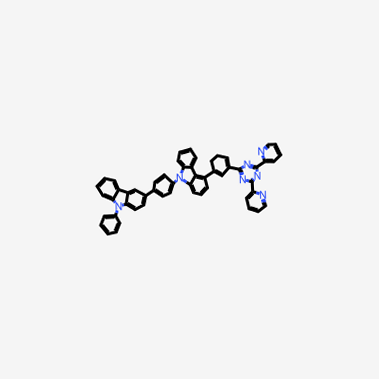 C1=C(c2nc(-c3ccccn3)nc(-c3ccccn3)n2)C=C(c2cccc3c2c2ccccc2n3-c2ccc(-c3ccc4c(c3)c3ccccc3n4-c3ccccc3)cc2)CC1